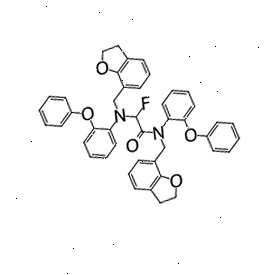 O=C(C(F)N(Cc1cccc2c1OCC2)c1ccccc1Oc1ccccc1)N(Cc1cccc2c1OCC2)c1ccccc1Oc1ccccc1